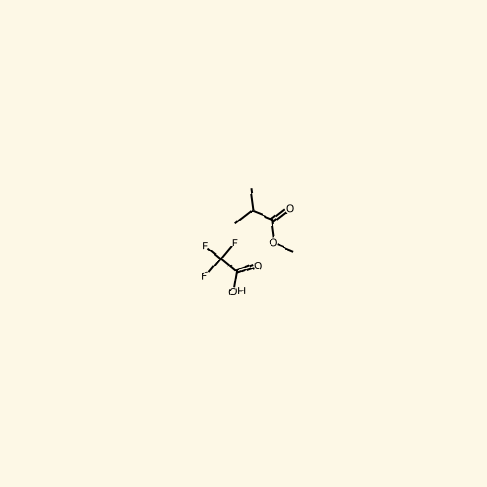 COC(=O)C(C)C.O=C(O)C(F)(F)F